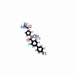 CCNC(=O)[C@H]1CC[C@@H](N(C)C(=O)c2c(F)cc(-c3ccc(CC)cc3)cc2F)C1